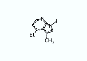 CCc1ccnc2c1c(C)cn2I